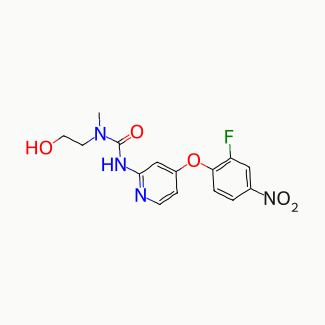 CN(CCO)C(=O)Nc1cc(Oc2ccc([N+](=O)[O-])cc2F)ccn1